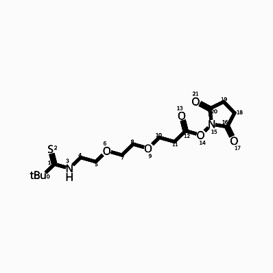 CC(C)(C)C(=S)NCCOCCOCCC(=O)ON1C(=O)CCC1=O